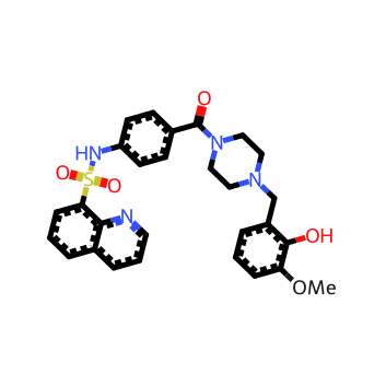 COc1cccc(CN2CCN(C(=O)c3ccc(NS(=O)(=O)c4cccc5cccnc45)cc3)CC2)c1O